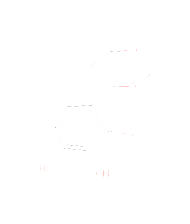 Oc1ccc(C2OCOCO2)c(O)c1O